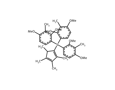 COc1ccc([Si](C2=C(C)C(C)=C(C)C2C)(c2ccc(OC)c(C)c2OC)c2ccc(OC)c(C)c2OC)c(OC)c1C